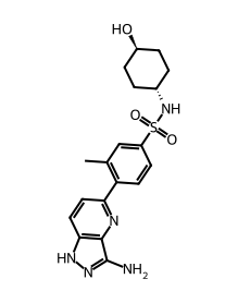 Cc1cc(S(=O)(=O)N[C@H]2CC[C@H](O)CC2)ccc1-c1ccc2[nH]nc(N)c2n1